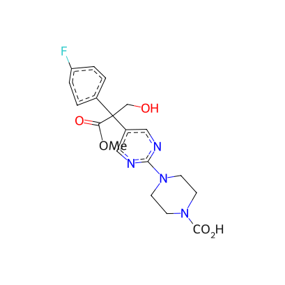 COC(=O)C(CO)(c1ccc(F)cc1)c1cnc(N2CCN(C(=O)O)CC2)nc1